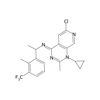 Cc1c(C(C)/N=c2\nc(C)n(C3CC3)c3cnc(Cl)cc23)cccc1C(F)(F)F